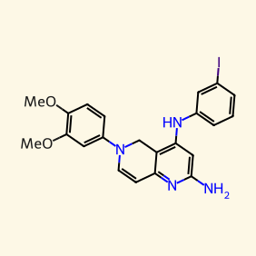 COc1ccc(N2C=Cc3nc(N)cc(Nc4cccc(I)c4)c3C2)cc1OC